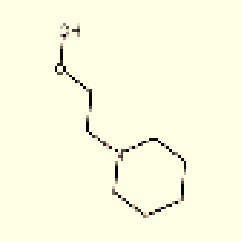 OOCCN1CCCCC1